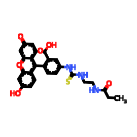 CCC(=O)NCCNC(=S)Nc1ccc(-c2c3ccc(=O)cc-3oc3cc(O)ccc23)c(C(=O)O)c1